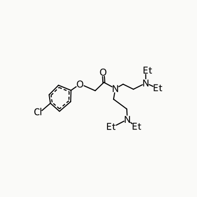 CCN(CC)CCN(CCN(CC)CC)C(=O)COc1ccc(Cl)cc1